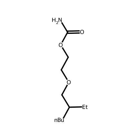 CCCCC(CC)COCCOC(N)=O